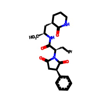 CC(C)C[C@@H](C(=O)N[C@@H](C[C@@H]1CCCNC1=O)C(=O)O)N1C(=O)C[C@H](c2ccccc2)C1=O